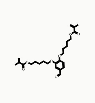 C=C(C)C(=O)OCCCCCOc1ccc(C=O)cc1OCCCCCOC(=O)C(=C)C